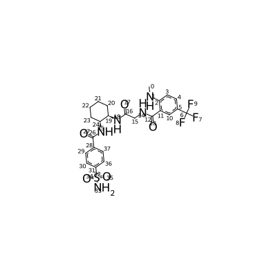 CNc1ccc(C(F)(F)F)cc1C(=O)NCC(=O)N[C@@H]1CCCC[C@@H]1NC(=O)c1ccc(S(N)(=O)=O)cc1